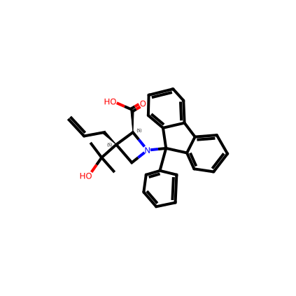 C=CC[C@]1(C(C)(C)O)CN(C2(c3ccccc3)c3ccccc3-c3ccccc32)[C@@H]1C(=O)O